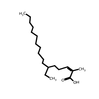 CCCCCCCCCCCC(CC)CCC=C(C)C(=O)O